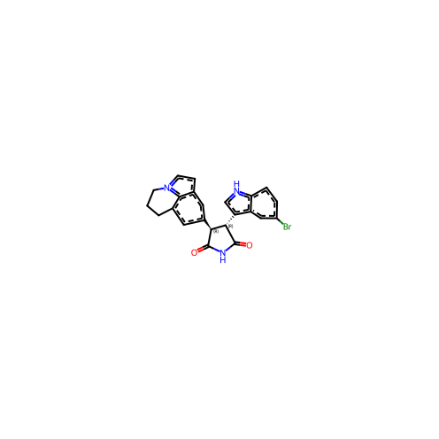 O=C1NC(=O)[C@@H](c2c[nH]c3ccc(Br)cc23)[C@@H]1c1cc2c3c(ccn3CCC2)c1